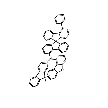 CC1(C)c2ccccc2-c2ccc(N(c3cccc4c3-c3ccccc3C43c4ccccc4-c4c(-c5ccccc5)cccc43)c3cccc4oc5ccccc5c34)cc21